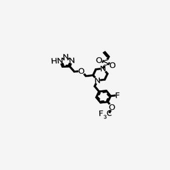 C=CS(=O)(=O)N1CCN(Cc2ccc(OC(F)(F)F)c(F)c2)C(COCc2c[nH]nn2)C1